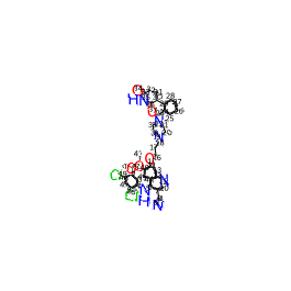 COc1cc(Nc2c(C#N)cnc3cc(OCCCN4CCN(Cc5ccccc5C5CCC(=O)NC5=O)CC4)c(OC)cc23)c(Cl)cc1Cl